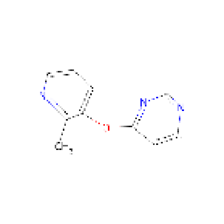 Cc1ncccc1Oc1c[c]ncn1